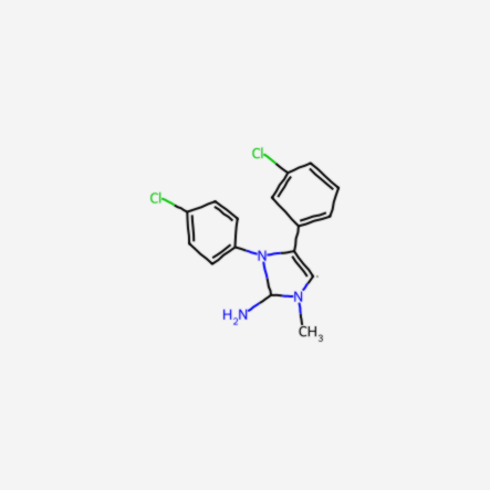 CN1[C]=C(c2cccc(Cl)c2)N(c2ccc(Cl)cc2)C1N